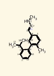 CN/N=C/c1ccc(C)c(-c2ccccc2C(C)C)c1